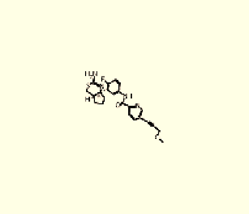 COCC#Cc1ccc(C(=O)Nc2ccc(F)c([C@]34CCC[C@H]3CSC(N)=N4)c2)nc1